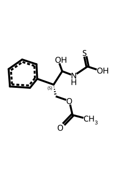 CC(=O)OC[C@H](c1ccccc1)C(O)NC(O)=S